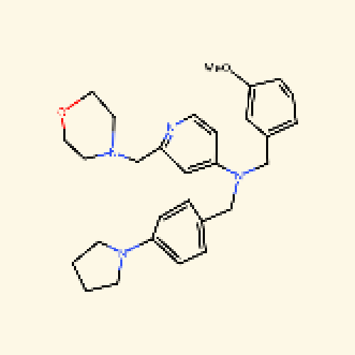 COc1cccc(CN(Cc2ccc(N3CCCC3)cc2)c2ccnc(CN3CCOCC3)c2)c1